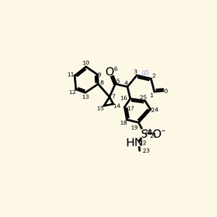 C=C/C=C\C(C(=O)C1(c2ccccc2)CC1)c1ccc([S+]([O-])NC)cc1